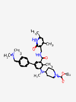 Cc1cc(C)c(CNC(=O)c2cc(-c3ccc(CN(C)C)cc3)cc(N(C)C3CCN(C(=O)OC(C)(C)C)CC3)c2C)c(=O)[nH]1